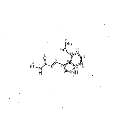 CCNC(=O)C=Cc1c[nH]c2ncnc(OC(C)(C)C)c12